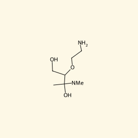 CNC(C)(O)C(CO)OCCN